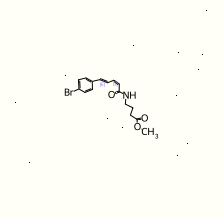 COC(=O)CCCNC(=O)/C=C\C=C\c1ccc(Br)cc1